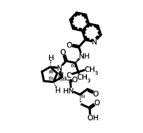 CC(C)(C)[C@H](NC(=O)c1nccc2ccccc12)C(=O)N1[C@@H]2CC[C@@H](C2)[C@H]1C(=O)N[C@H](C=O)CC(=O)O